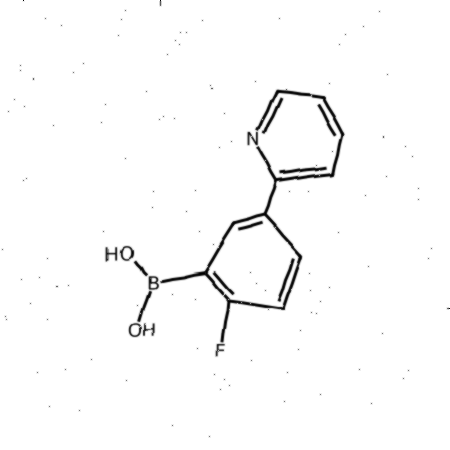 OB(O)c1cc(-c2ccccn2)ccc1F